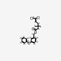 CC(C)(CC=C(Cl)Cl)CC(=O)OCc1cccc(Oc2ccccc2)c1